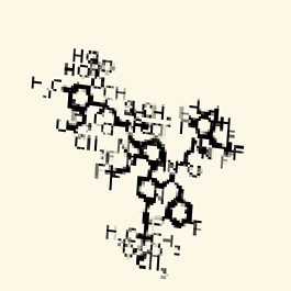 CC(=O)Cc1cc(C)cc(OP(=O)(O)O)c1C(C)(C)CC(=O)N(c1nn(CC(F)(F)F)c2c(-c3ccc(C#CC(C)(C)S(C)(=O)=O)nc3[C@H](Cc3cc(F)cc(F)c3)NC(=O)Cn3nc(C(F)(F)F)c4c3C(F)(F)[C@@H]3C[C@H]43)ccc(Cl)c12)S(C)(=O)=O